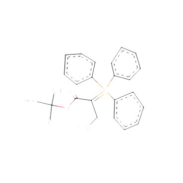 CCC(C(=O)OC(C)(C)C)=P(c1ccccc1)(c1ccccc1)c1ccccc1